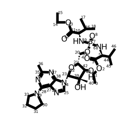 CCOC(=O)[C@@H](NP(=O)(N[C@H](C(=O)OCC)C(C)C)OC[C@H]1O[C@@H](n2cnc3c(N4CCCC4)nc(C)nc32)[C@@](C)(O)C1O)C(C)C